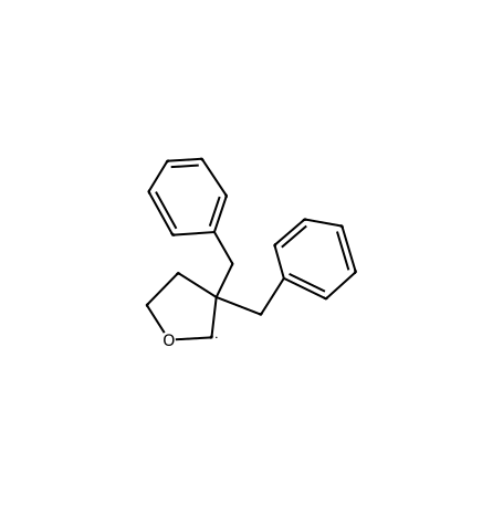 [CH]1OCCC1(Cc1ccccc1)Cc1ccccc1